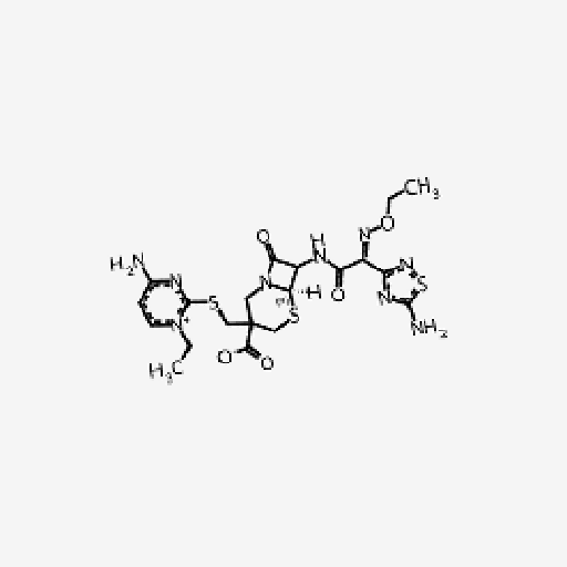 CCON=C(C(=O)NC1C(=O)N2CC(CSc3nc(N)cc[n+]3CC)(C(=O)[O-])CS[C@H]12)c1nsc(N)n1